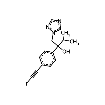 CC(C)C(O)(Cn1cncn1)c1ccc(C#CI)cc1